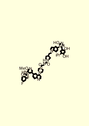 COc1ncc(-c2ccc3nccc(N4CCN(C(=O)CNC(=O)N5CCC(CCn6ccc7cc(-n8c(O)nnc8-c8cc(C(C)C)c(O)cc8O)ccc76)CC5)CC4)c3c2)cc1NS(=O)(=O)c1ccc(F)cc1F